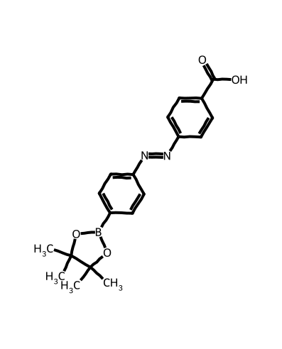 CC1(C)OB(c2ccc(N=Nc3ccc(C(=O)O)cc3)cc2)OC1(C)C